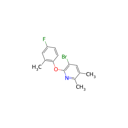 Cc1cc(F)ccc1Oc1nc(C)c(C)cc1Br